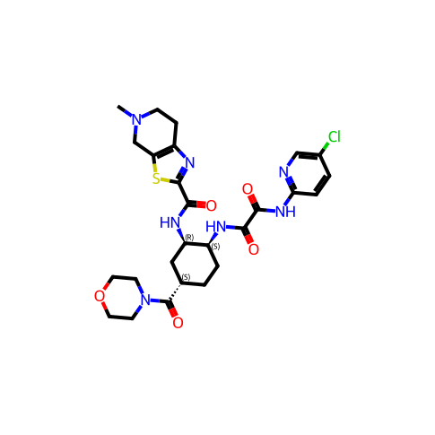 CN1CCc2nc(C(=O)N[C@@H]3C[C@@H](C(=O)N4CCOCC4)CC[C@@H]3NC(=O)C(=O)Nc3ccc(Cl)cn3)sc2C1